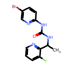 CC(NC(=O)Nc1ccc(Br)cn1)c1ncccc1F